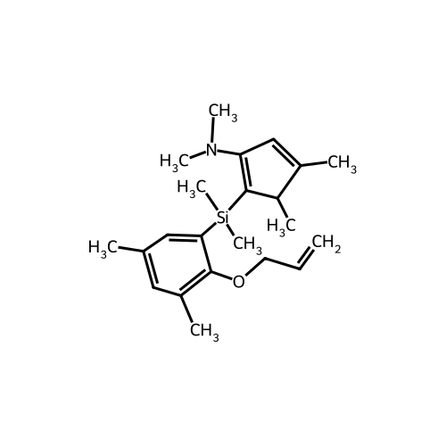 C=CCOc1c(C)cc(C)cc1[Si](C)(C)C1=C(N(C)C)C=C(C)C1C